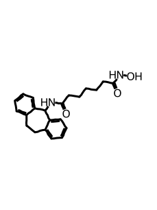 O=C(CCCCCC(=O)NC1c2ccccc2CCc2ccccc21)NO